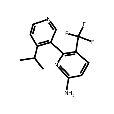 CC(C)c1ccncc1-c1nc(N)ccc1C(F)(F)F